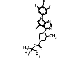 CC1CN(C(=O)OC(C)(C)C)CCN1c1ncnc2c1c(I)cn2-c1cc(F)c(F)c(F)c1